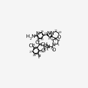 CCNC(=O)N1CC[C@]2(C1)OCCn1nc(-c3cnc(N)c(O[C@H](C)c4c(Cl)ccc(F)c4Cl)c3)cc12